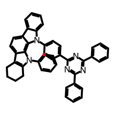 c1ccc(-c2nc(-c3ccccc3)nc(-c3ccc(-n4c5ccccc5c5ccc6c7c(n(-c8ccccc8)c6c54)CCCC7)cc3)n2)cc1